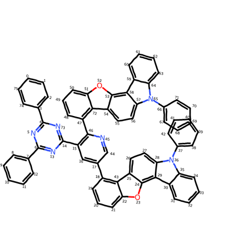 c1ccc(-c2nc(-c3ccccc3)nc(-c3cc(-c4cccc5oc6c(ccc7c6c6ccccc6n7-c6ccccc6)c45)cnc3-c3cccc4oc5c(ccc6c5c5ccccc5n6-c5ccccc5)c34)n2)cc1